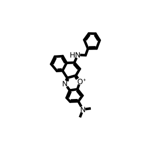 CN(C)c1ccc2nc3c(cc(NCc4ccccc4)c4ccccc43)[o+]c2c1